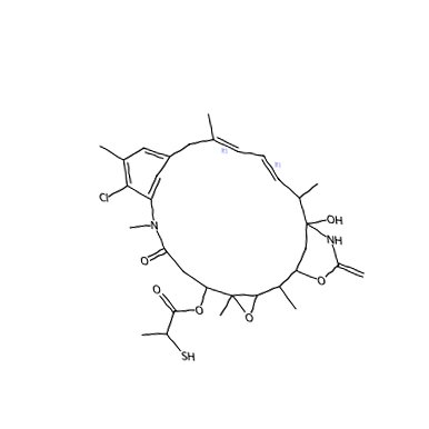 C=C1NC2(O)CC(O1)C(C)C1OC1(C)C(OC(=O)C(C)S)CC(=O)N(C)c1cc(cc(C)c1Cl)C/C(C)=C/C=C/C2C